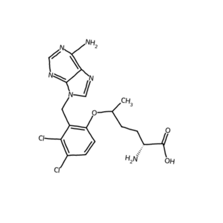 CC(CC[C@@H](N)C(=O)O)Oc1ccc(Cl)c(Cl)c1Cn1cnc2c(N)ncnc21